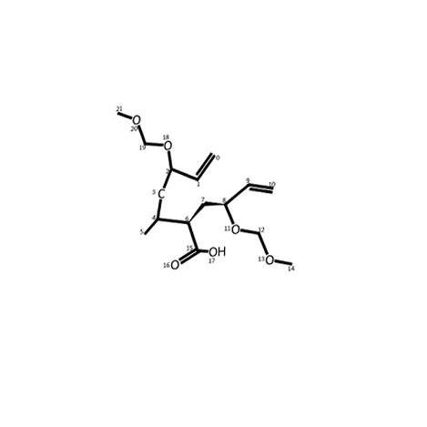 C=CC(CC(C)[C@@H](C[C@@H](C=C)OCOC)C(=O)O)OCOC